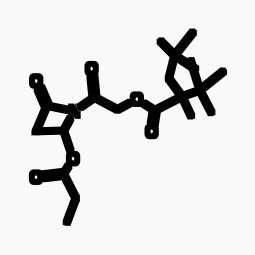 CCC(=O)OC1CC(=O)N1C(=O)COC(=O)C(C)(CC(C)(C)C)C(C)(C)C